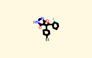 CCc1ccc(-c2c(-c3ccccc3F)oc3nc[nH]c(=O)c23)cc1